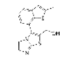 Cc1cc2cccc(C3=C(CO)SC4=NCCN43)c2s1